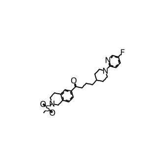 CS(=O)(=O)N1CCc2cc(C(=O)CCCC3CCN(c4ccc(F)cn4)CC3)ccc2C1